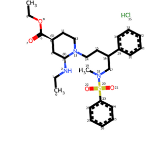 CCN[C@H]1C[C@@H](C(=O)OCC)CCN1CCC(CN(C)S(=O)(=O)c1ccccc1)c1ccccc1.Cl